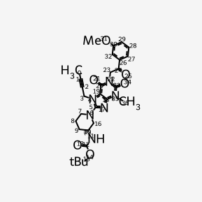 CC#CCn1c(N2CCC[C@@H](NC(=O)OC(C)(C)C)C2)nc2c1c(=O)n(CC(=O)c1cccc(OC)c1)c(=O)n2C